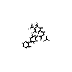 CC(C)C[C@@H](Nc1nc(Nc2cccc(-c3ncccc3F)c2)c(C(N)=O)c(=O)[nH]1)C(N)=O